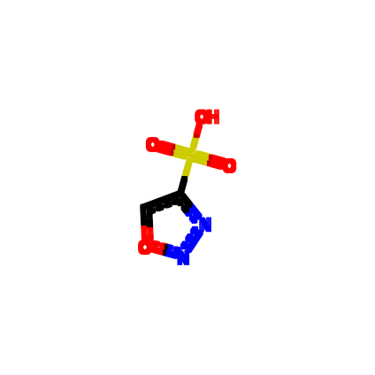 O=S(=O)(O)c1conn1